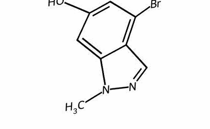 Cn1ncc2c(Br)cc(O)cc21